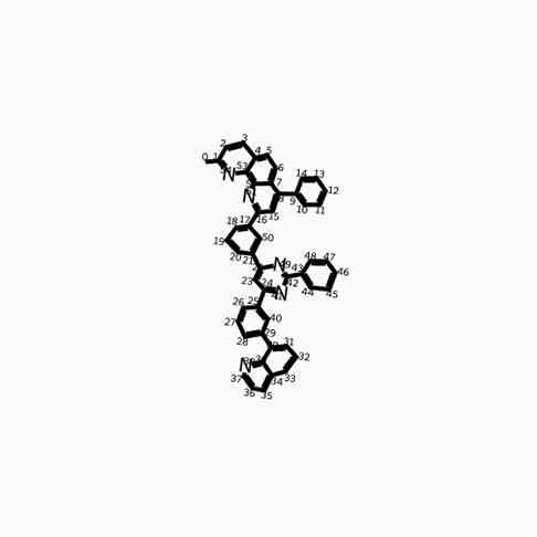 Cc1ccc2ccc3c(-c4ccccc4)cc(-c4cccc(-c5cc(-c6cccc(-c7cccc8cccnc78)c6)nc(-c6ccccc6)n5)c4)nc3c2n1